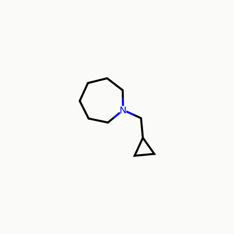 C1CCCN(CC2CC2)CC1